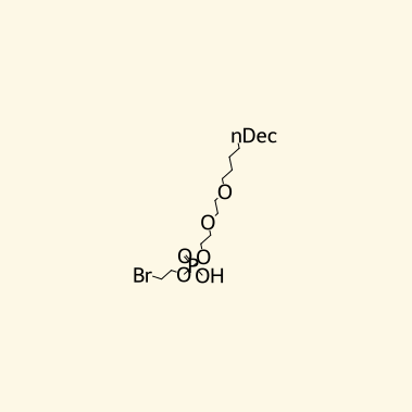 CCCCCCCCCCCCCCOCCOCCOP(=O)(O)OCCBr